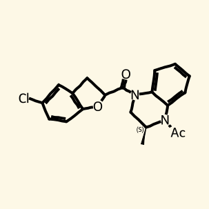 CC(=O)N1c2ccccc2N(C(=O)C2Cc3cc(Cl)ccc3O2)C[C@@H]1C